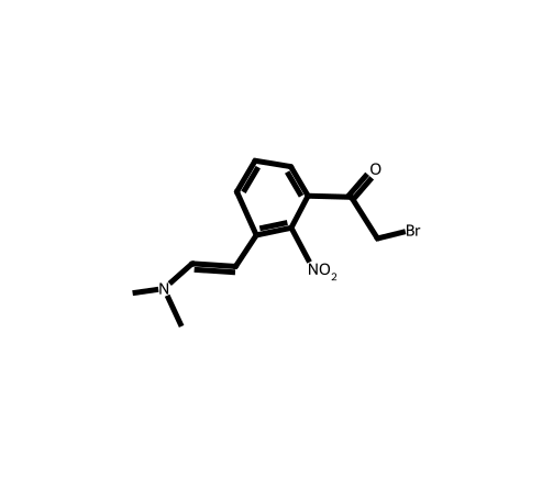 CN(C)C=Cc1cccc(C(=O)CBr)c1[N+](=O)[O-]